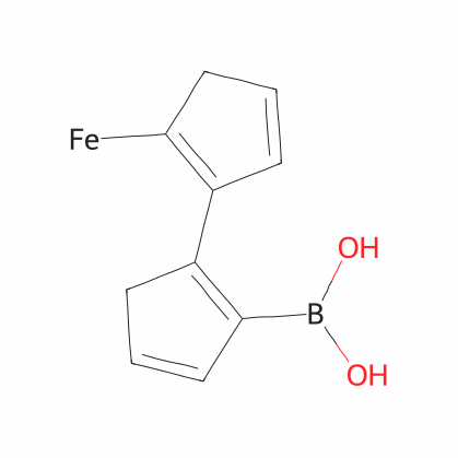 OB(O)C1=C(C2=[C]([Fe])CC=C2)CC=C1